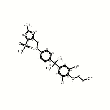 Cc1nc(S(C)(=O)=O)c(COc2ccc(C(C)(C)c3cc(Cl)c(OCCCl)c(Cl)c3)cc2)o1